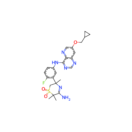 CC1(c2cc(Nc3ncnc4cc(OCC5CC5)cnc34)ccc2F)CS(=O)(=O)C(C)(C)C(N)=N1